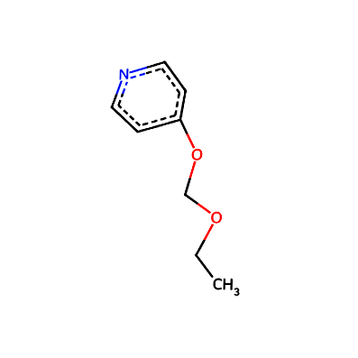 CCOCOc1ccncc1